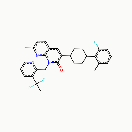 Cc1ccc2cc(C3CCC(c4c(C)cccc4F)CC3)c(=O)n(Cc3ncccc3C(C)(F)F)c2n1